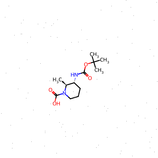 C[C@H]1[C@H](NC(=O)OC(C)(C)C)CCCN1C(=O)O